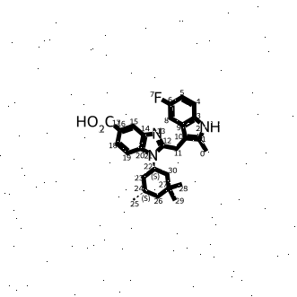 Cc1[nH]c2ccc(F)cc2c1Cc1nc2cc(C(=O)O)ccc2n1[C@H]1C[C@@H](C)CC(C)(C)C1